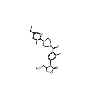 CCc1cnc(N2CCN(C(=O)c3ccc(N4C(=O)OCC4CO)cc3C)CC2)c(C)c1